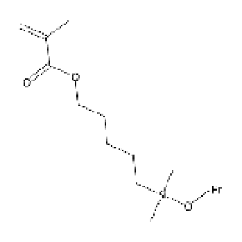 C=C(C)C(=O)OCCCCC[Si](C)(C)OC(C)C